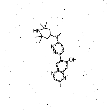 Cc1cnc2cc(-c3ccc(N(C)C4CC(C)(C)NC(C)(C)C4)nn3)c(O)cc2n1